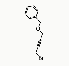 BrCC#CCOCc1ccccc1